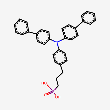 O=P(O)(O)CCCc1ccc(N(c2ccc(-c3ccccc3)cc2)c2ccc(-c3ccccc3)cc2)cc1